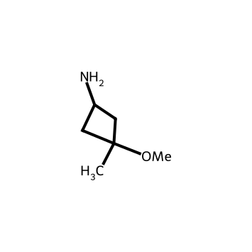 COC1(C)CC(N)C1